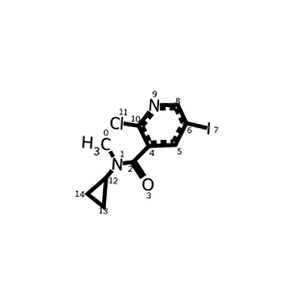 CN(C(=O)c1cc(I)cnc1Cl)C1CC1